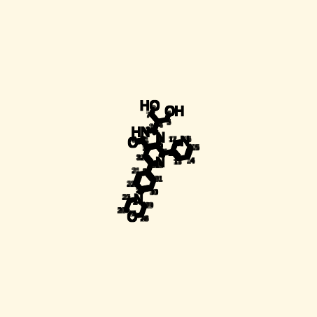 O=c1[nH]c(C(CO)CO)nc2c(-c3cccnc3)nc(-c3ccc(N4CCOCC4)cc3)cc12